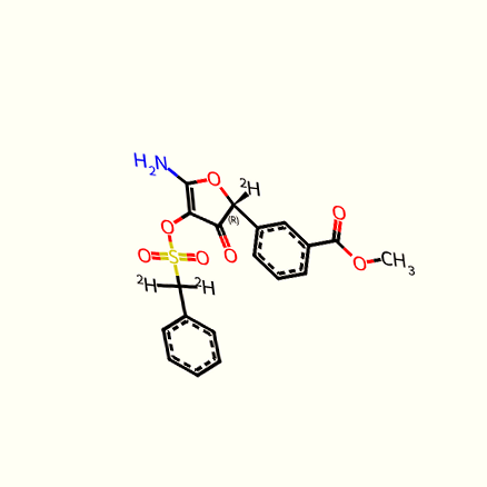 [2H]C([2H])(c1ccccc1)S(=O)(=O)OC1=C(N)O[C@]([2H])(c2cccc(C(=O)OC)c2)C1=O